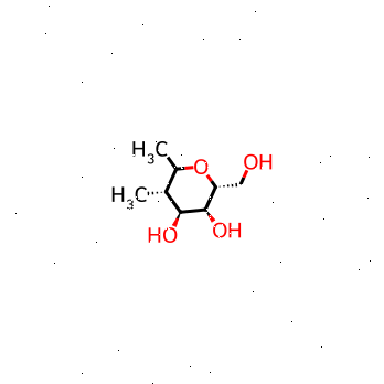 CC1O[C@H](CO)[C@@H](O)[C@@H](O)[C@@H]1C